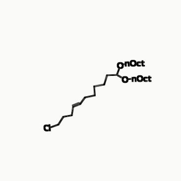 CCCCCCCCOC(CCCCC/C=C/CCCCl)OCCCCCCCC